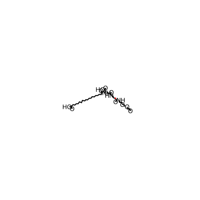 O=CCOCCOCCNC(=O)CCCNC(=O)CC[C@H](NC(=O)CCCCCCCCCCCCCCCCCCC(=O)O)C(=O)O